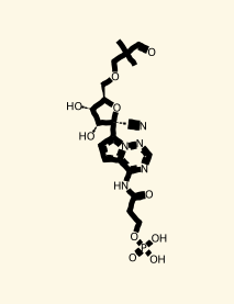 CC(C)(C=O)COC[C@H]1O[C@@](C#N)(c2ccc3c(NC(=O)CCOP(=O)(O)O)ncnn23)[C@H](O)[C@@H]1O